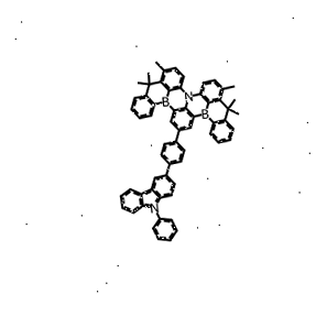 Cc1ccc2c3c1C(C)(C)c1ccccc1B3c1cc(-c3ccc(-c4ccc5c(c4)c4ccccc4n5-c4ccccc4)cc3)cc3c1N2c1ccc(C)c2c1B3c1ccccc1C2(C)C